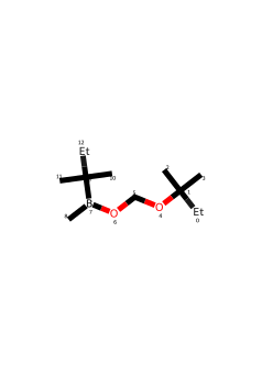 CCC(C)(C)OCOB(C)C(C)(C)CC